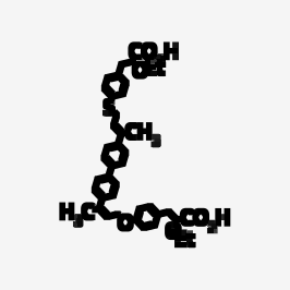 CCOC(Cc1ccc(OCC=C(C)c2ccc(-c3ccc(C(C)=CCSc4ccc(CC(OCC)C(=O)O)cc4)cc3)cc2)cc1)C(=O)O